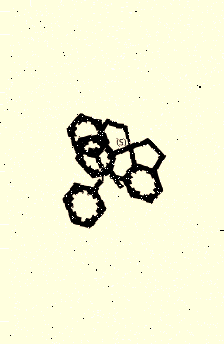 Cc1cccc2c1[C@]1(CC2)CCc2cccc(P(c3ccccc3)c3ccccc3)c21